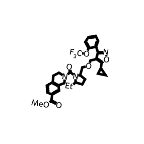 CCC1CCC(COCc2c(-c3ccccc3OC(F)(F)F)noc2C2CC2)N1C(=O)N1CCc2ccc(C(=O)OC)cc2C1